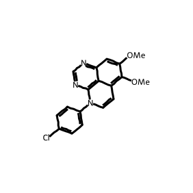 COc1cc2ncnc3c2c(c1OC)C=CN3c1ccc(Cl)cc1